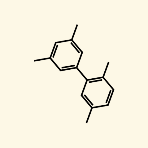 Cc1cc(C)cc(-c2cc(C)ccc2C)c1